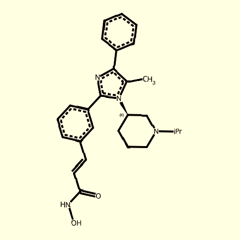 Cc1c(-c2ccccc2)nc(-c2cccc(C=CC(=O)NO)c2)n1[C@@H]1CCCN(C(C)C)C1